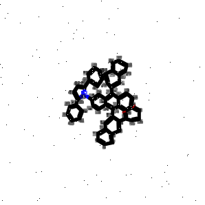 c1ccc(-c2cc3ccccc3cc2-c2c3ccccc3c(-c3ccc4ccccc4c3)c3cc(-n4c(-c5ccccc5)ccc4-c4ccccc4)ccc23)cc1